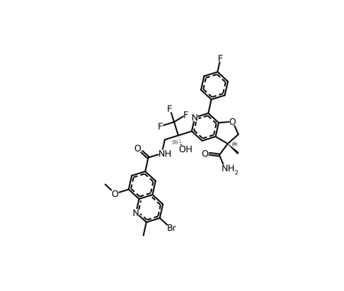 COc1cc(C(=O)NC[C@](O)(c2cc3c(c(-c4ccc(F)cc4)n2)OC[C@]3(C)C(N)=O)C(F)(F)F)cc2cc(Br)c(C)nc12